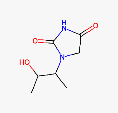 CC(O)C(C)N1CC(=O)NC1=O